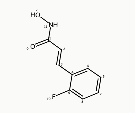 O=C(/C=C/c1ccccc1F)NO